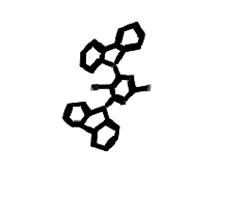 N#Cc1c(-n2c3ccccc3c3ccccc32)nc(Cl)nc1-n1c2ccccc2c2ccccc21